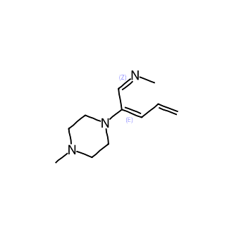 C=C/C=C(\C=N/C)N1CCN(C)CC1